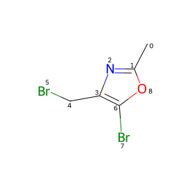 Cc1nc(CBr)c(Br)o1